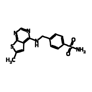 Cc1cc2c(NCc3ccc(S(N)(=O)=O)cc3)ncnc2s1